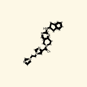 O=C(c1cn(CCn2ccnc2)cn1)N1CCc2nc(NC3Cc4ccccc4C3)ncc2C1